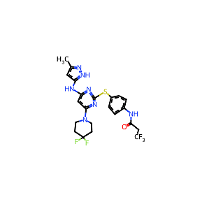 Cc1cc(Nc2cc(N3CCC(F)(F)CC3)nc(Sc3ccc(NC(=O)CC(F)(F)F)cc3)n2)[nH]n1